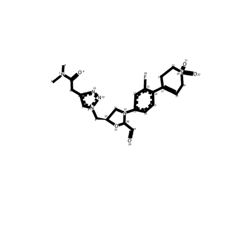 CN(C)C(=O)Cc1cn(C[C@H]2CN(c3ccc(C4=CCS(=O)(=O)CC4)c(F)c3)C(C=O)O2)nn1